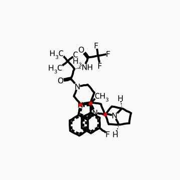 Cc1nc2ccccc2n1C1C[C@H]2CC[C@@H](C1)N2CCC1(c2cccc(F)c2)CCN(C(=O)[C@@H](NC(=O)C(F)(F)F)C(C)(C)C)CC1